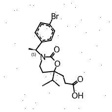 CC(C)C1(CCC(=O)O)CCN([C@@H](C)c2ccc(Br)cc2)C(=O)O1